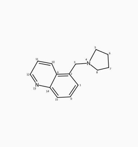 c1cc(CN2CCCC2)c2cccnc2c1